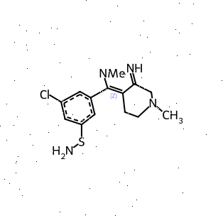 CN/C(=C1/CCN(C)CC1=N)c1cc(Cl)cc(SN)c1